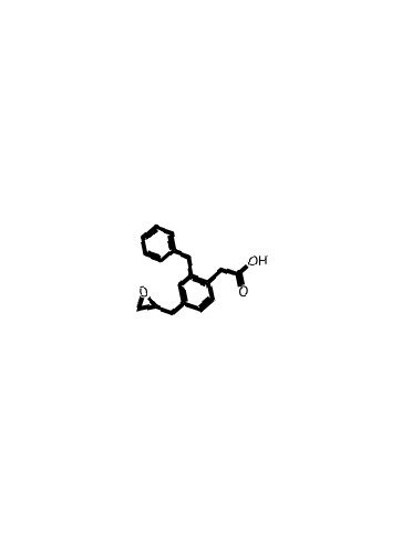 O=C(O)Cc1ccc(CC2CO2)cc1Cc1ccccc1